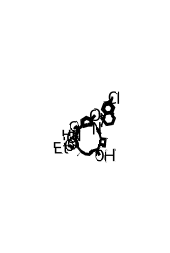 CCOC[C@H]1[C@@H](C)C/C=C/C(O)C2CCC2CN2C[C@@]3(CCCc4cc(Cl)ccc43)COc3ccc(cc32)C(=O)NS1(=O)=O